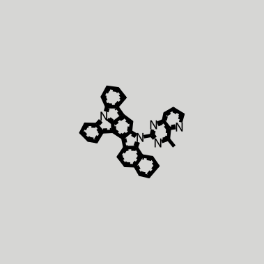 Cc1nc(-n2c3cc4c5ccccc5n5c6ccccc6c(c3c3ccc6ccccc6c32)c45)nc2cccnc12